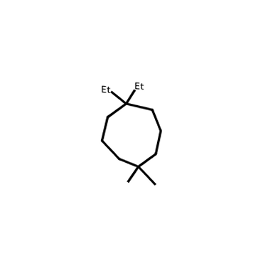 CCC1(CC)CCCC(C)(C)CCC1